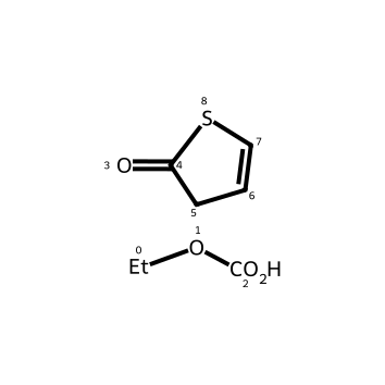 CCOC(=O)O.O=C1CC=CS1